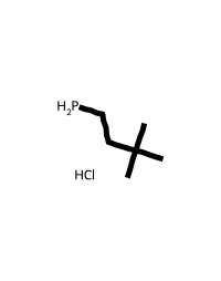 CC(C)(C)CCP.Cl